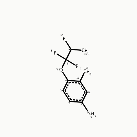 Nc1ccc(OC(F)(F)C(F)C(F)(F)F)c(C(F)(F)F)c1